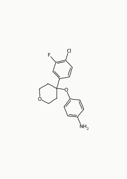 Nc1ccc(OC2(c3ccc(Cl)c(F)c3)CCOCC2)cc1